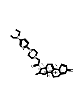 CCN(CC)c1ccc(N2CCN(CC(=O)[C@H]3C(C)C[C@H]4[C@@H]5CCC6=CC(=O)C=C[C@]6(C)C5=CC[C@]34C)CC2)nc1